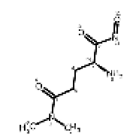 CN(C)C(=O)CC[C@H](N)C(=O)N=O